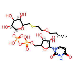 COCCOCCSCC1O[C@H](OP(=O)(O)OP(=O)(O)OCC2OC(n3ccc(=O)[nH]c3=O)[C@H](O)[C@@H]2O)[C@@H](O)C(O)[C@H]1O